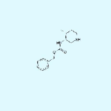 C[C@@H]1CCNC[C@@H]1NC(=O)OCc1ccccc1